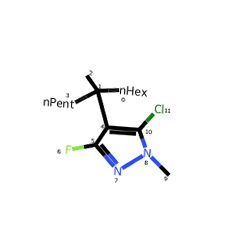 CCCCCCC(C)(CCCCC)c1c(F)nn(C)c1Cl